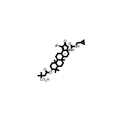 CC(C)C1=C2C3CCC4C5(C)CC[C@H](OC(=O)CC(C)(C)C(=O)O)C(C)(C)C5CCC4(C)[C@]3(C)CC[C@@]2(NC(=O)NCC2CC2)CC1=O